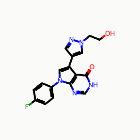 O=c1[nH]cnc2c1c(-c1cnn(CCO)c1)cn2-c1ccc(F)cc1